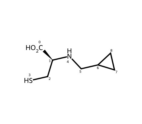 O=C(O)[C@H](CS)NCC1CC1